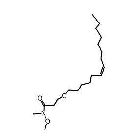 CCCCCCC/C=C\CCCCCCCCC(=O)N(C)OC